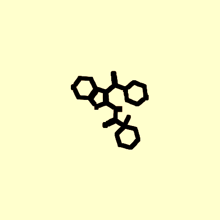 CC1(C(=O)Nc2sc3c(c2C(=O)N2CCOCC2)CCOC3)CCCCC1